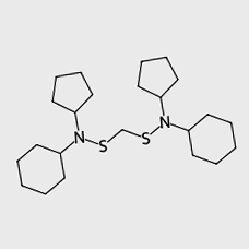 C1CCC(N(SCSN(C2CCCCC2)C2CCCC2)C2CCCC2)CC1